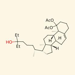 CCC(O)(CC)CCC[C@@H](C)[C@H]1CC[C@H]2[C@@H]3CC=C4CCCC(OC(C)=O)(OC(C)=O)[C@]4(C)[C@H]3CC[C@]12C